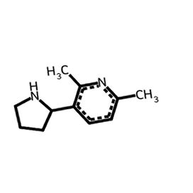 Cc1ccc(C2CCCN2)c(C)n1